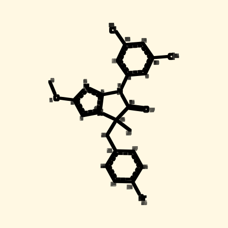 COc1cn2c(n1)N(c1cc(Cl)cc(Cl)c1)C(=O)C2(C)Cc1ccc(Br)cc1